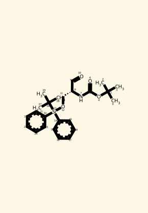 CC(C)(C)OC(=O)N[C@@H](C=O)CO[Si](c1ccccc1)(c1ccccc1)C(C)(C)C